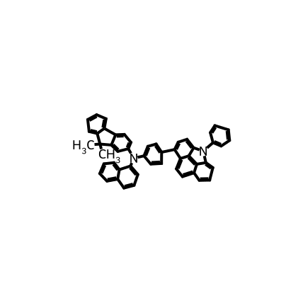 CC1(C)c2ccccc2-c2ccc(N(c3ccc(-c4ccc5c6c4ccc4cccc(c46)n5-c4ccccc4)cc3)c3cccc4ccccc34)cc21